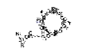 C/C=C/C[C@@H](C)[C@@H](O)[C@H]1C(=O)C[C@@H](CC)C(=O)N(C)C(Cc2ccc(C(=O)NCCCCCCNC(=O)c3ccc(-c4c5ccc(=[N+](C)C)cc-5oc5cc(N(C)C)ccc45)cc3)cc2)C(=O)N(C)[C@@H](CC(C)C)C(=O)C[C@@H](C(C)C)C(=O)N(C)[C@@H](CC(C)C)C(=O)C[C@@H](C)C(=O)N[C@H](C)C(=O)N(C)[C@@H](CC(C)C)C(=O)N(C)[C@@H](CC(C)C)C(=O)N(C)[C@@H](C(C)C)C(=O)N1C